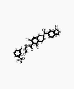 CS(=O)(=O)c1cccc(C[C@@H](C=O)NC(=O)c2c(Cl)cc3c(c2Cl)CCN(C(=O)c2ccc4cn[nH]c4c2)C3)c1